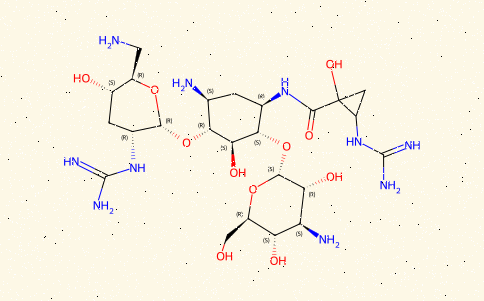 N=C(N)NC1CC1(O)C(=O)N[C@@H]1C[C@H](N)[C@@H](O[C@H]2O[C@H](CN)[C@@H](O)C[C@H]2NC(=N)N)[C@H](O)[C@H]1O[C@H]1O[C@H](CO)[C@@H](O)[C@H](N)[C@H]1O